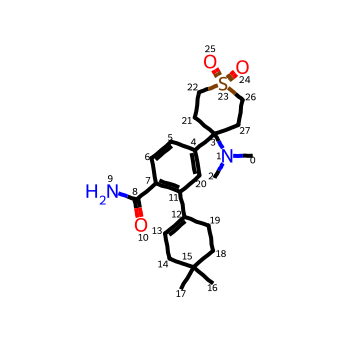 CN(C)C1(c2ccc(C(N)=O)c(C3=CCC(C)(C)CC3)c2)CCS(=O)(=O)CC1